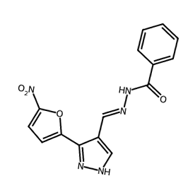 O=C(NN=Cc1c[nH]nc1-c1ccc([N+](=O)[O-])o1)c1ccccc1